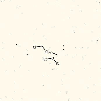 CCCC.CCOCC.ClCCl